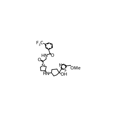 COCc1cnc(C2(O)CCC(N[C@H]3CCN(C(=O)CNC(=O)c4cccc(C(F)(F)F)c4)C3)CC2)s1